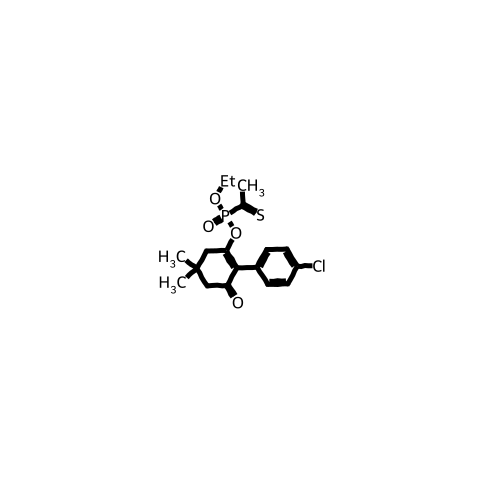 CCOP(=O)(OC1=C(c2ccc(Cl)cc2)C(=O)CC(C)(C)C1)C(C)=S